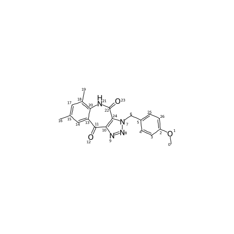 COc1ccc(Cn2nnc3c(=O)c4cc(C)cc(C)c4[nH]c(=O)c32)cc1